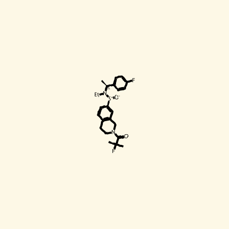 CCN([C@@H](C)c1ccc(F)cc1)[S+]([O-])c1ccc2c(c1)CN(C(=O)C(C)(C)F)CC2